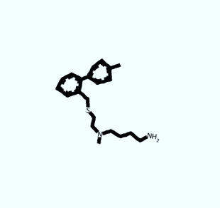 Cc1ccc(-c2ccccc2CSCCN(C)CCCCN)cc1